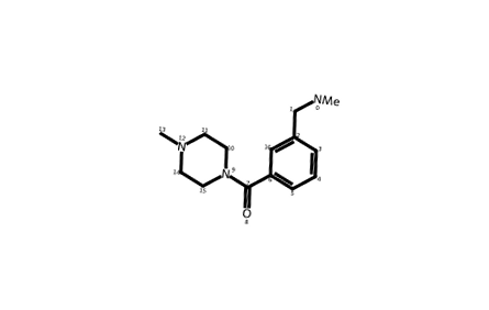 CNCc1cccc(C(=O)N2CCN(C)CC2)c1